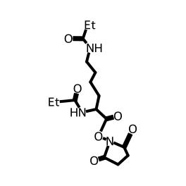 CCC(=O)NCCCCC(NC(=O)CC)C(=O)ON1C(=O)CCC1=O